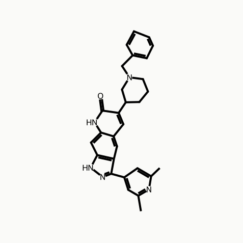 Cc1cc(-c2n[nH]c3cc4[nH]c(=O)c(C5CCCN(Cc6ccccc6)C5)cc4cc23)cc(C)n1